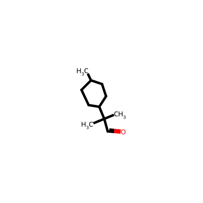 CC1CCC(C(C)(C)C=O)CC1